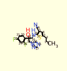 CCCc1cc(C#N)c(NC[C@](O)(Cn2cncn2)c2ccc(F)cc2F)s1